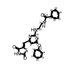 O=C1NC(=O)/C(=C/c2cc(Oc3ccccc3)nc(NCCNC(=O)c3ccccc3)n2)S1